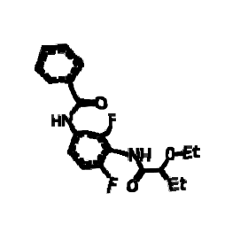 CCOC(CC)C(=O)Nc1c(F)ccc(NC(=O)c2ccccc2)c1F